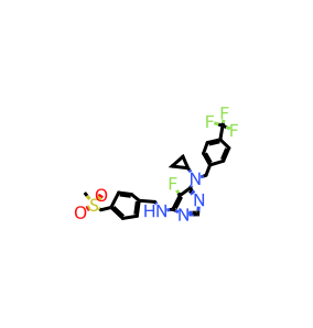 CS(=O)(=O)Cc1ccc(CNc2ncnc(N(Cc3ccc(C(F)(F)F)cc3)C3CC3)c2F)cc1